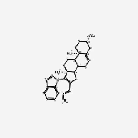 C/N=C/C1=C(n2cnc3ccccc32)[C@@]2(C)CCC3C(CC=C4C[C@@H](OC(C)=O)CC[C@@]43C)C2C1